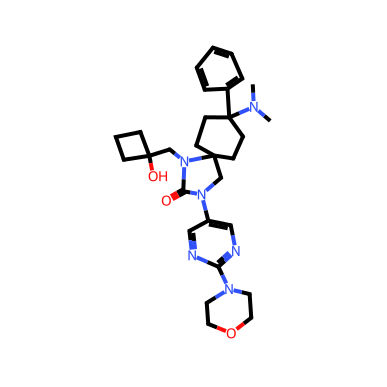 CN(C)C1(c2ccccc2)CCC2(CC1)CN(c1cnc(N3CCOCC3)nc1)C(=O)N2CC1(O)CCC1